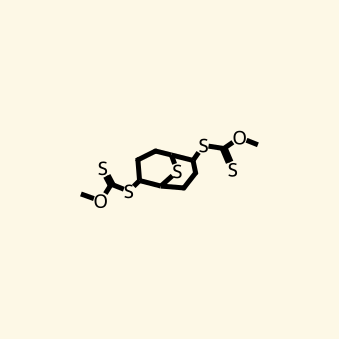 COC(=S)SC1CCC2SC1CCC2SC(=S)OC